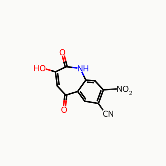 N#Cc1cc2c(=O)cc(O)c(=O)[nH]c2cc1[N+](=O)[O-]